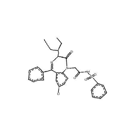 CCC(CC)C1N=C(c2ccccc2)c2cc(Cl)ccc2N(CC(=O)NS(=O)(=O)c2ccccc2)C1=O